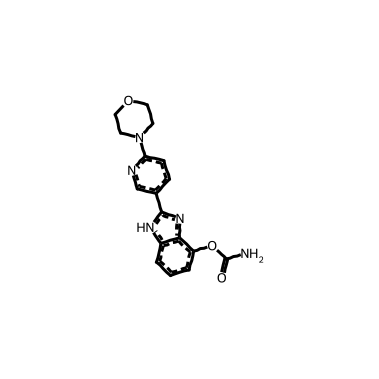 NC(=O)Oc1cccc2[nH]c(-c3ccc(N4CCOCC4)nc3)nc12